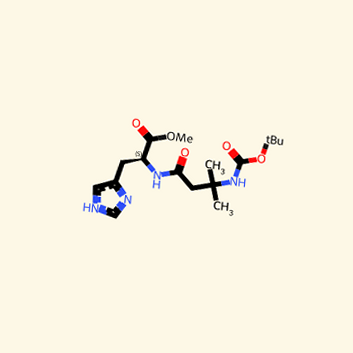 COC(=O)[C@H](Cc1c[nH]cn1)NC(=O)CC(C)(C)NC(=O)OC(C)(C)C